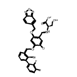 O=C(O)[C@@H](CO)NCc1cc(Cl)c(OCc2cccc(-c3cccc(F)c3F)c2Br)cc1OCc1ccc2nonc2c1